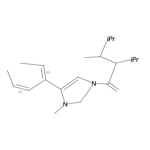 C=C(C(C(C)C)C(C)C(C)C)N1C=C(C(/C=C\C)=C/C)N(C)C1